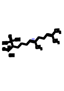 CC(C)=CCC/C(C)=C/CCCC([PH](=O)O)P(=O)(O)O